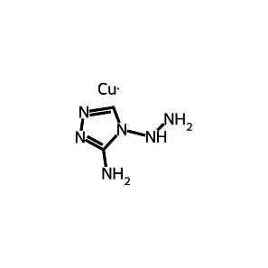 NNn1cnnc1N.[Cu]